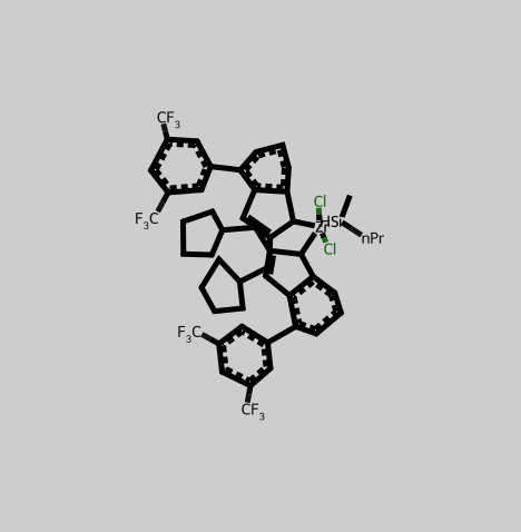 CCC[SiH](C)[Zr]([Cl])([Cl])([CH]1C(CC2CCCC2)=Cc2c(-c3cc(C(F)(F)F)cc(C(F)(F)F)c3)cccc21)[CH]1C(CC2CCCC2)=Cc2c(-c3cc(C(F)(F)F)cc(C(F)(F)F)c3)cccc21